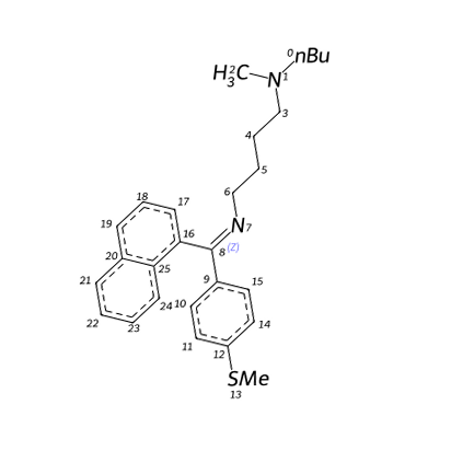 CCCCN(C)CCCC/N=C(/c1ccc(SC)cc1)c1cccc2ccccc12